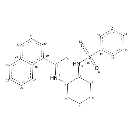 CC(N[C@H]1CCCCC1NS(=O)(=O)c1ccccc1)c1cccc2ccccc12